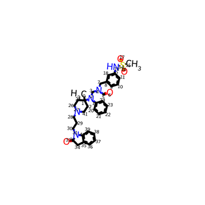 CC1(N(CN(C=O)Cc2cccc(NS(C)(=O)=O)c2)c2ccccc2)CCN(CCCN2C(=O)Cc3ccccc32)CC1